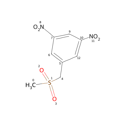 CS(=O)(=O)Cc1cc([N+](=O)[O-])cc([N+](=O)[O-])c1